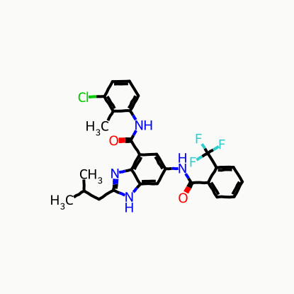 Cc1c(Cl)cccc1NC(=O)c1cc(NC(=O)c2ccccc2C(F)(F)F)cc2[nH]c(CC(C)C)nc12